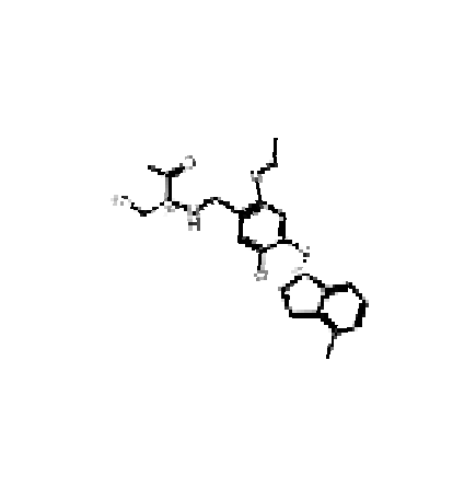 CCOc1cc(O[C@H]2CCc3c(C)cccc32)c(Cl)cc1CN[C@@H](CO)C(C)=O